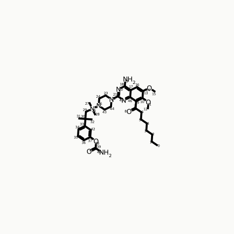 CCCCCCCC(=O)c1c(OC)c(OC)cc2c(N)nc(N3CCN([N+](C)(C)CC(C)(C)c4cccc(OC(N)=O)c4)CC3)nc12